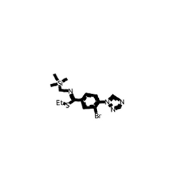 CCSC(=NC[Si](C)(C)C)c1ccc(-n2cncn2)c(Br)c1